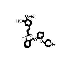 COc1ccc(/C=C/C(=O)Nc2ccccc2COc2ccccc2OC2CCN(C)CC2)cc1O